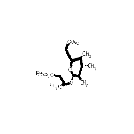 CCOC(=O)CC(C)O[C@H]1OC(COC(C)=O)[C@@H](C)[C@H](C)C1C